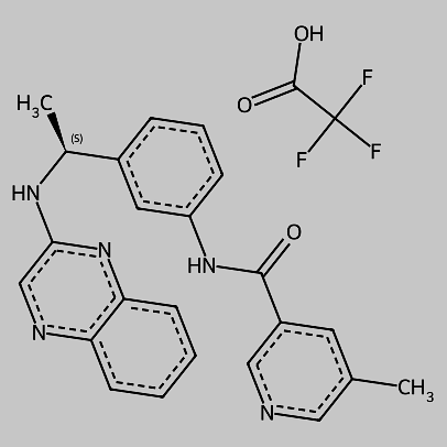 Cc1cncc(C(=O)Nc2cccc([C@H](C)Nc3cnc4ccccc4n3)c2)c1.O=C(O)C(F)(F)F